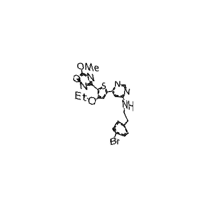 CCOc1cc(-c2cc(NCCc3ccc(Br)cc3)ncn2)sc1-c1noc(OC)n1